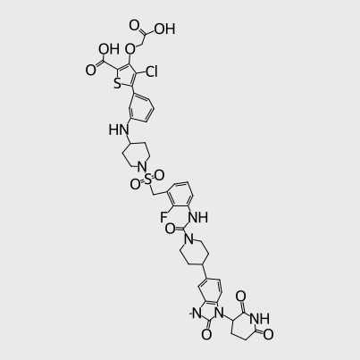 Cn1c(=O)n(C2CCC(=O)NC2=O)c2ccc(C3CCN(C(=O)Nc4cccc(CS(=O)(=O)N5CCC(Nc6cccc(-c7sc(C(=O)O)c(OCC(=O)O)c7Cl)c6)CC5)c4F)CC3)cc21